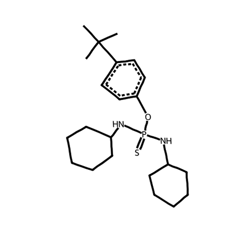 CC(C)(C)c1ccc(OP(=S)(NC2CCCCC2)NC2CCCCC2)cc1